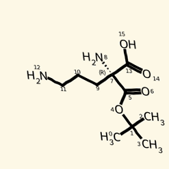 CC(C)(C)OC(=O)[C@@](N)(CCCN)C(=O)O